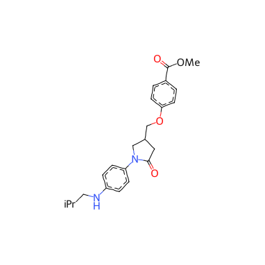 COC(=O)c1ccc(OCC2CC(=O)N(c3ccc(NCC(C)C)cc3)C2)cc1